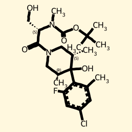 Cc1cc(Cl)cc(F)c1C1(O)[C@H](C)CN(C(=O)[C@H](CO)N(C)C(=O)OC(C)(C)C)C[C@@H]1C